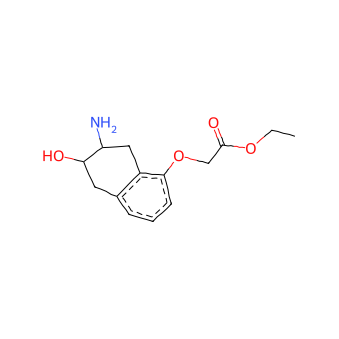 CCOC(=O)COc1cccc2c1CC(N)C(O)C2